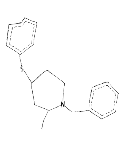 CC1CC(Sc2ccccc2)CCN1Cc1ccccc1